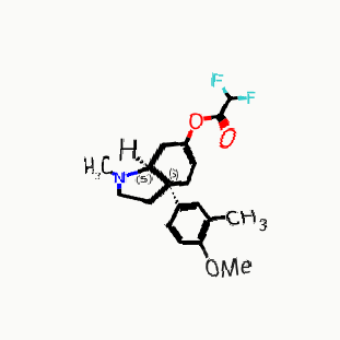 COc1ccc([C@@]23CC=C(OC(=O)C(F)F)C[C@@H]2N(C)CC3)cc1C